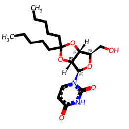 CCCCCC1(CCCCC)O[C@@H]2[C@H](O1)[C@@H](CO)O[C@H]2n1ccc(=O)[nH]c1=O